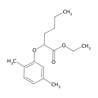 CCCCC(Oc1cc(C)ccc1C)C(=O)OCC